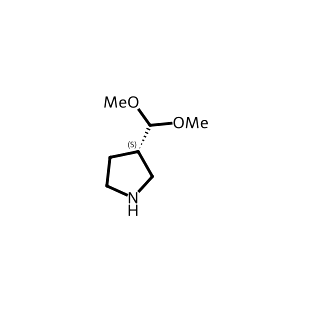 COC(OC)[C@H]1CCNC1